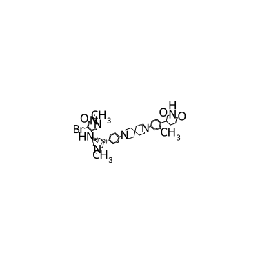 Cc1cc(N2CCC3(CCN(c4ccc([C@H]5C[C@@H](Nc6cnn(C)c(=O)c6Br)CN(C)C5)cc4)CC3)CC2)ccc1C1CCC(=O)NC1=O